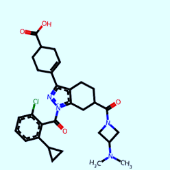 CN(C)C1CN(C(=O)C2CCc3c(C4=CCC(C(=O)O)CC4)nn(C(=O)c4c(Cl)cccc4C4CC4)c3C2)C1